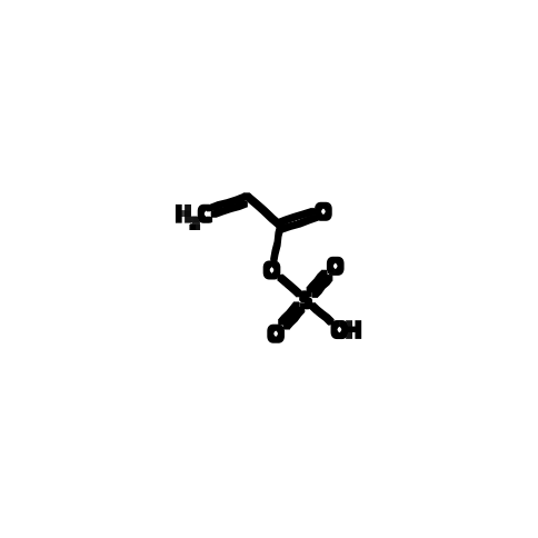 C=CC(=O)OS(=O)(=O)O